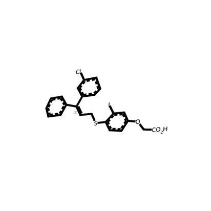 O=C(O)COc1ccc(SC/C=C(/c2ccccc2)c2cccc(Cl)c2)c(I)c1